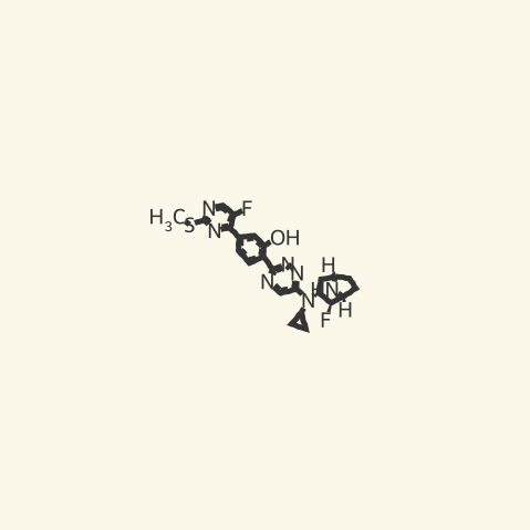 CSc1ncc(F)c(-c2ccc(-c3ncc(N(C4CC4)[C@H]4C[C@@H]5CC[C@@H](N5)[C@H]4F)nn3)c(O)c2)n1